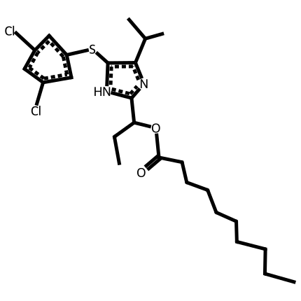 CCCCCCCCCC(=O)OC(CC)c1nc(C(C)C)c(Sc2cc(Cl)cc(Cl)c2)[nH]1